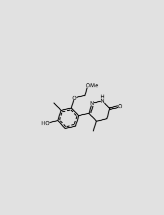 COCOc1c(C2=NNC(=O)CC2C)ccc(O)c1C